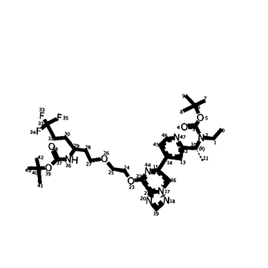 CCN(C(=O)OC(C)(C)C)[C@H](C)c1cc(-c2cn3ncnc3c(OCCOCCC(CCC(F)(F)F)NC(=O)OC(C)(C)C)n2)ccn1